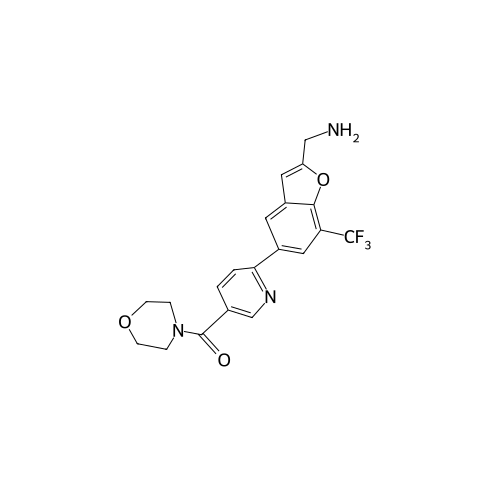 NCc1cc2cc(-c3ccc(C(=O)N4CCOCC4)cn3)cc(C(F)(F)F)c2o1